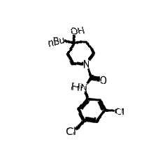 CCCCC1(O)CCN(C(=O)Nc2cc(Cl)cc(Cl)c2)CC1